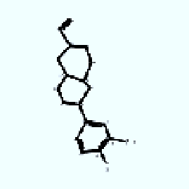 C=CC1CCC2CC(c3ccc(Cl)c(F)c3)CCC2C1